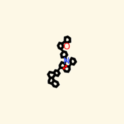 c1ccc(-c2ccccc2N(c2ccc(-c3ccc4c(ccc5ccc6ccccc6c54)c3)cc2)c2ccc(-c3cccc4c3oc3ccccc34)cc2)cc1